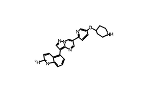 [2H]c1ccc2c(-c3cnn4cc(-c5ccc(OC6CCNCC6)cn5)cnc34)cccc2n1